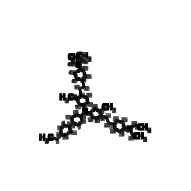 CCc1ccc(-c2ccc(N(c3ccc(CCc4ccc(N(CC)CC)cc4)c(C)c3)c3ccc(CCc4ccc(N(CC)CC)cc4)c(C)c3)cc2)cc1